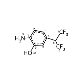 Nc1ccc(C(C(F)(F)F)C(F)(F)F)cc1O